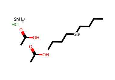 CC(=O)O.CC(=O)O.CCC[CH2][Sn][CH2]CCC.Cl.[SnH2]